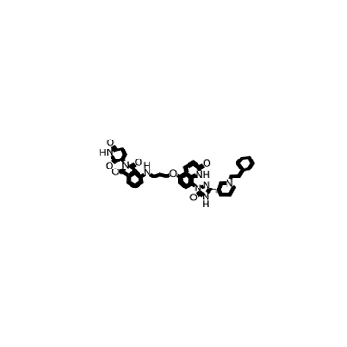 O=C1CCC(N2C(=O)c3cccc(NCCCOc4ccc(-n5nc([C@H]6CCCN(CCC7CCCCC7)C6)[nH]c5=O)c5[nH]c(=O)ccc45)c3C2=O)C(=O)N1